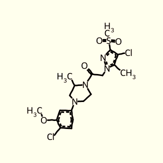 COc1cc(N2CCN(C(=O)Cn3nc(S(C)(=O)=O)c(Cl)c3C)C(C)C2)ccc1Cl